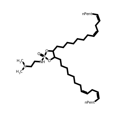 CCCCC/C=C\C/C=C\CCCCCCCC1OP(=O)(NCCN(C)C)OC1CCCCCCC/C=C\C/C=C\CCCCC